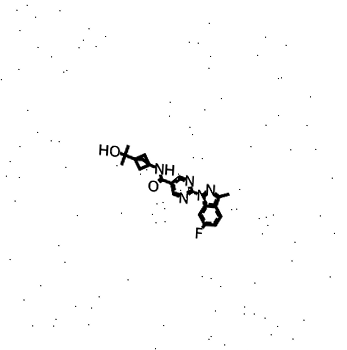 Cc1nn(-c2ncc(C(=O)NC34CC(C(C)(C)O)(C3)C4)cn2)c2cc(F)ccc12